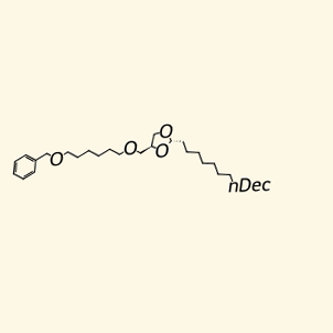 CCCCCCCCCCCCCCCCC[C@H]1OC[C@H](COCCCCCCOCc2ccccc2)O1